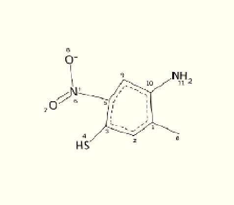 Cc1cc(S)c([N+](=O)[O-])cc1N